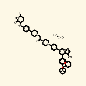 N#Cc1cnn2cc(-c3ccc(N4CCN(C(=O)CN5CCC(c6ccc(NC7CCC(=O)NC7=O)cc6)CC5)CC4)cc3)cc(-c3ccc(N4CC5CC(C4)N5Cc4ccccc4)nc3)c12.O=CO